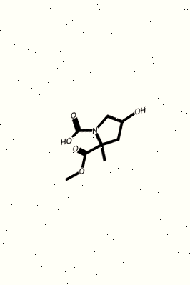 COC(=O)C1(C)CC(O)CN1C(=O)O